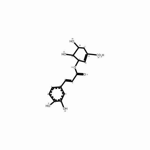 O=C(C=Cc1ccc(O)c(O)c1)OC1C=C(C(=O)O)CC(O)C1O